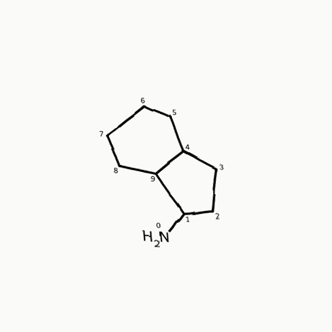 NC1CCC2CCCCC12